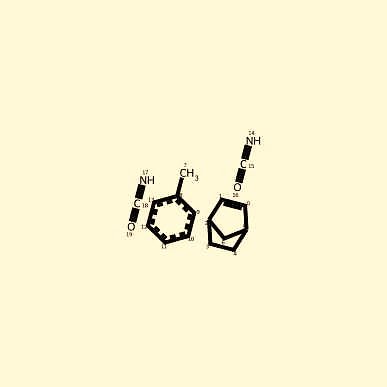 C1=CC2CCC1C2.Cc1ccccc1.N=C=O.N=C=O